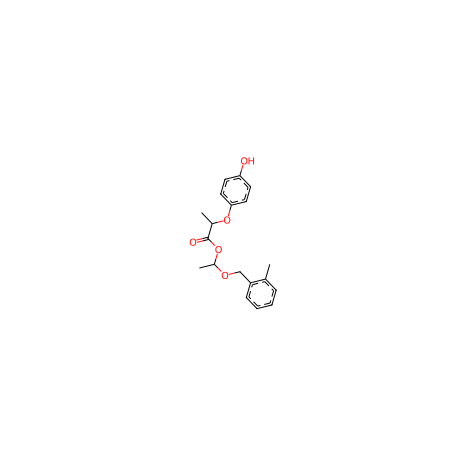 Cc1ccccc1COC(C)OC(=O)C(C)Oc1ccc(O)cc1